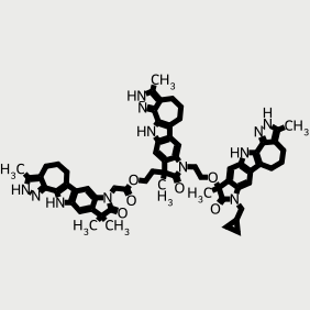 Cc1[nH]nc2c1CCCc1c-2[nH]c2cc3c(cc12)N(CC(=O)OCCC1(C)C(=O)N(CCOC2(C)C(=O)N(CC4CC4)c4cc5c6c([nH]c5cc42)-c2n[nH]c(C)c2CCC6)c2cc4c5c([nH]c4cc21)-c1n[nH]c(C)c1CCC5)C(=O)C3(C)C